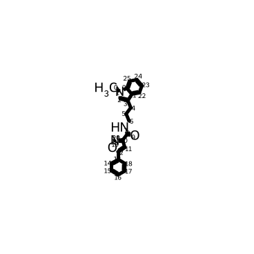 Cn1cc(CCCNC(=O)c2cc(-c3ccccc3)on2)c2ccccc21